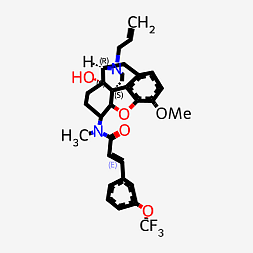 C=CCN1CC[C@]23c4c5ccc(OC)c4OC2C(N(C)C(=O)/C=C/c2cccc(OC(F)(F)F)c2)CC[C@@]3(O)[C@H]1C5